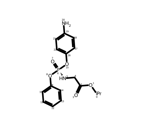 CC(C)OC(=O)CN[P@@](=O)(Oc1ccccc1)Oc1ccc(N)cc1